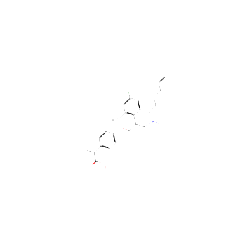 C=CCCCCN(C)CC(COc1ccc(C(C)C(=O)OC(C)(C)C)cc1)c1ccc(Cl)cc1CCC